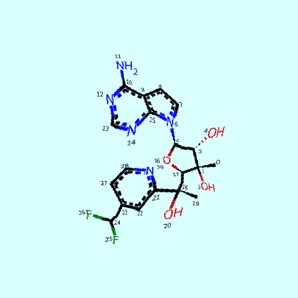 C[C@]1(O)[C@@H](O)[C@H](n2ccc3c(N)ncnc32)O[C@@H]1[C@](C)(O)c1cc(C(F)F)ccn1